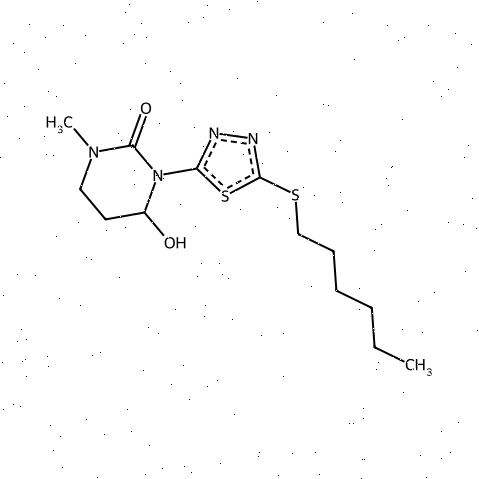 CCCCCCSc1nnc(N2C(=O)N(C)CCC2O)s1